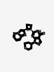 O=c1[nH]c([C@H]2CC[C@@H]2c2cn3ncccc3n2)nc2c1cnn2C1CCOCC1